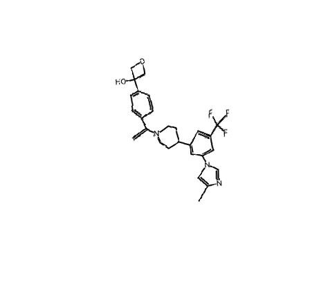 C=C(c1ccc(C2(O)COC2)cc1)N1CCC(c2cc(-n3cnc(C)c3)cc(C(F)(F)F)c2)CC1